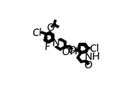 CC(C)Oc1cc(N2CCC(O)(COc3ccc(Cl)c4c3CCC(=O)N4)CC2)c(F)cc1Cl